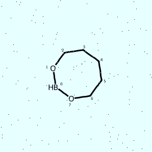 B1OCCCCCO1